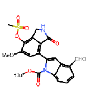 COc1cc(-c2cc3c(C=O)cccc3n2C(=O)OC(C)(C)C)c2c(c1OS(C)(=O)=O)CNC2=O